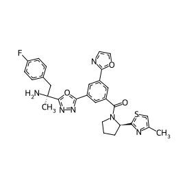 Cc1csc([C@H]2CCCN2C(=O)c2cc(-c3ncco3)cc(-c3nnc([C@@](C)(N)Cc4ccc(F)cc4)o3)c2)n1